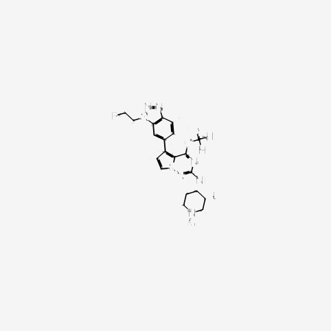 [2H]C([2H])([2H])Oc1nc(N[C@H]2CCN(C(C)=O)C[C@H]2F)nn2ccc(-c3ccc4nnn(CCF)c4c3)c12